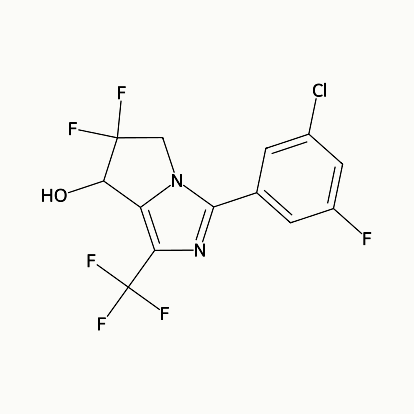 OC1c2c(C(F)(F)F)nc(-c3cc(F)cc(Cl)c3)n2CC1(F)F